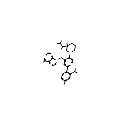 Nc1ncnc2c1ncn2Cc1cc(-c2ccc(F)cc2C(F)F)ncc1N1CCCC(N)(C(O)C(F)F)C1